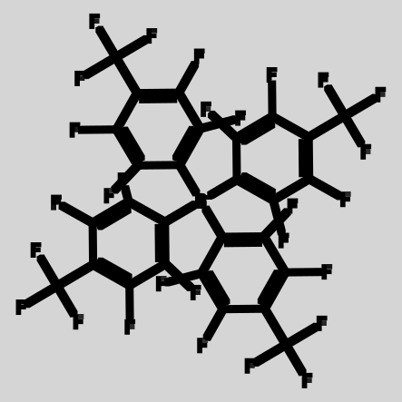 Fc1c(F)c(C(F)(F)F)c(F)c(F)c1[B-](c1c(F)c(F)c(C(F)(F)F)c(F)c1F)(c1c(F)c(F)c(C(F)(F)F)c(F)c1F)c1c(F)c(F)c(C(F)(F)F)c(F)c1F